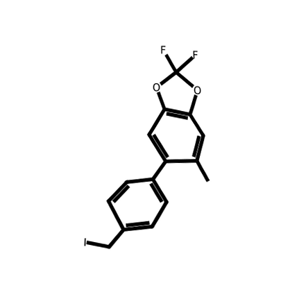 Cc1cc2c(cc1-c1ccc(CI)cc1)OC(F)(F)O2